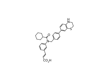 O=C(O)C=Cc1cccc(N(Cc2ccc(-c3ccc4c(c3)SCCN4)cc2)C(=O)C2CCCCC2)c1